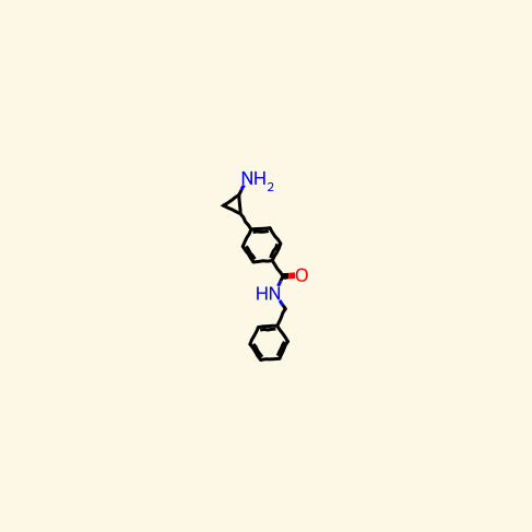 NC1CC1c1ccc(C(=O)NCc2ccccc2)cc1